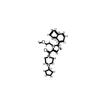 COCCn1c(C(=O)N2CCN(C3CCCC3)CC2)cnc1-c1cccc2ccccc12